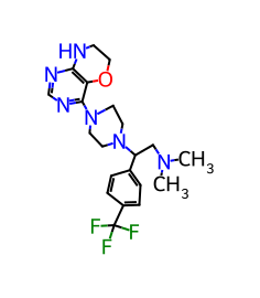 CN(C)CC(c1ccc(C(F)(F)F)cc1)N1CCN(c2ncnc3c2OCCN3)CC1